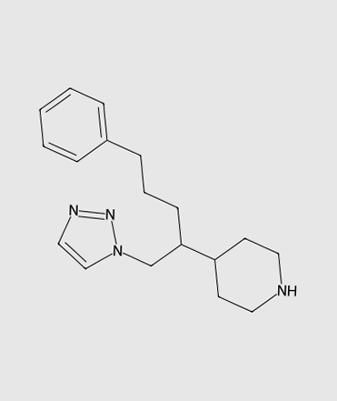 c1ccc(CCCC(Cn2ccnn2)C2CCNCC2)cc1